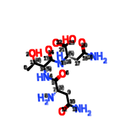 C[C@@H](O)[C@H](NC(=O)[C@@H](N)CC(N)=O)C(=O)N[C@@H](CC(N)=O)C(=O)O